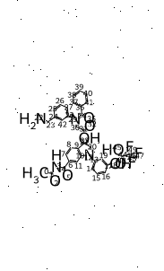 CC(=O)NC(=O)c1ccc2c(c1)N(c1cccc(O)c1)CC2.NCc1cccc(N(CC(=O)O)C(=O)c2ccccc2)c1.O=C(O)C(F)(F)F